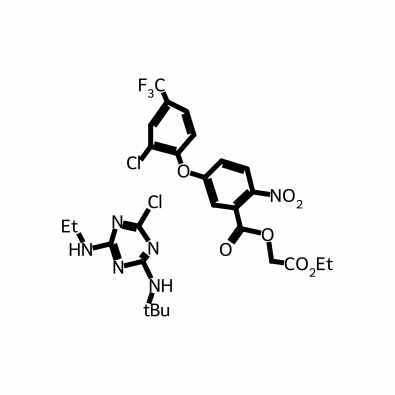 CCNc1nc(Cl)nc(NC(C)(C)C)n1.CCOC(=O)COC(=O)c1cc(Oc2ccc(C(F)(F)F)cc2Cl)ccc1[N+](=O)[O-]